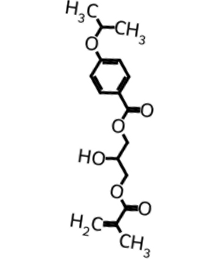 C=C(C)C(=O)OCC(O)COC(=O)c1ccc(OC(C)C)cc1